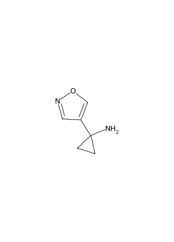 NC1(c2cnoc2)CC1